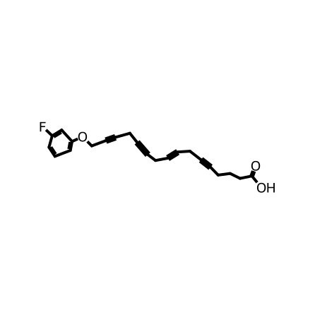 O=C(O)CCCC#CCC#CCC#CCC#CCOc1cccc(F)c1